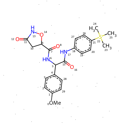 COc1ccc(C(NC(=O)C2CC(=O)NO2)C(=O)Nc2ccc(S(C)(C)C)cc2)cc1